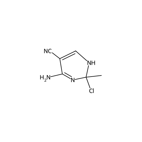 CC1(Cl)N=C(N)C(C#N)=CN1